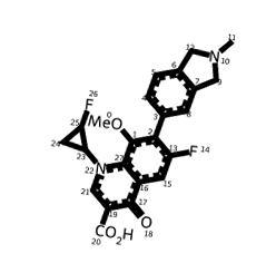 COc1c(-c2ccc3c(c2)CN(C)C3)c(F)cc2c(=O)c(C(=O)O)cn(C3CC3F)c12